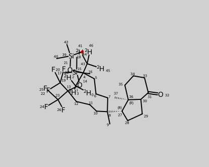 [2H]C([2H])([2H])C(CCCC(C)(CCCC(O[Si](C)(C)C)(C(F)(F)F)C(F)(F)F)[C@H]1CCC2C(=O)CCC[C@@]21C)(O[Si](C)(C)C)C([2H])([2H])[2H]